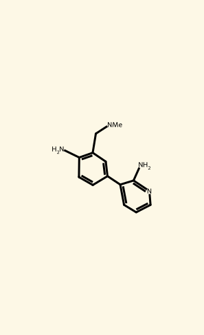 CNCc1cc(-c2cccnc2N)ccc1N